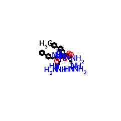 Cc1ccc(-c2ccc(C[C@H](NC(=O)[C@H](CCCNC(=N)N)NC(=O)[C@@H](N)Cc3ccc(-c4ccccc4)cc3)C(=O)N[C@@H](CCCNC(=N)N)C(N)=O)cc2)cc1